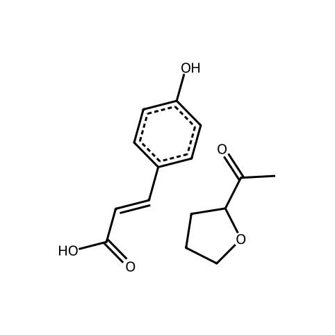 CC(=O)C1CCCO1.O=C(O)C=Cc1ccc(O)cc1